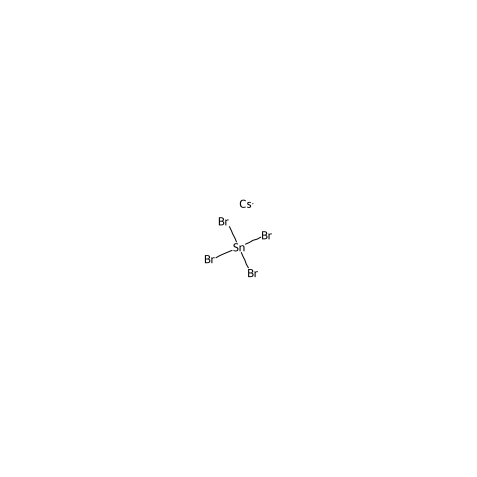 [Br][Sn]([Br])([Br])[Br].[Cs]